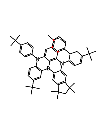 CC(C)c1cc2c3c(c1)N(c1ccc(C(C)(C)C)cc1)c1ccc(C(C)(C)C)cc1B3c1cc3c(cc1N2C1=CC=C(C(C)(C)C)CC1c1ccccc1)C(C)(C)CC3(C)C